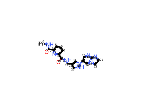 CC(C)NC(=O)c1cccc(C(=O)NCC2=CN(c3cnc4nccn4c3)NC2)n1